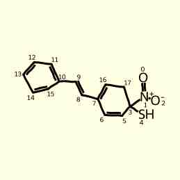 O=[N+]([O-])C1(S)C=CC(C=Cc2ccccc2)=CC1